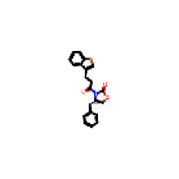 O=C(CCc1csc2ccccc12)N1C(=O)OC[C@H]1Cc1ccccc1